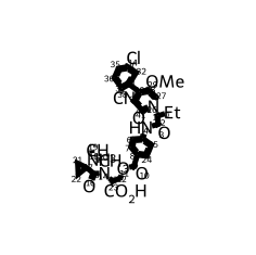 CCC(C(=O)Nc1ccc(C(=O)OC[C@H](NC(=O)C2(N(C)C)CC2)C(=O)O)cc1)n1cc(OC)c(-c2cc(Cl)ccc2C#N)cc1=O